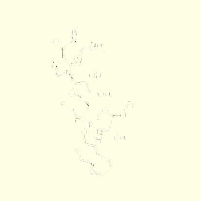 CC(C)OC(=O)[C@H](C)NP(=S)(OC[C@@]1(C(F)F)O[C@@H](n2cnc3c(=O)[nH]c(N)nc32)[C@H](O)[C@@H]1O)Oc1ccc2ccccc2c1